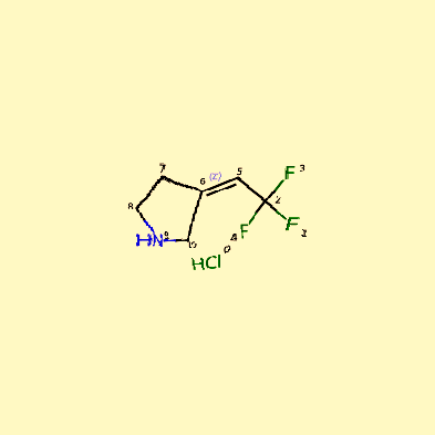 Cl.FC(F)(F)/C=C1/CCNC1